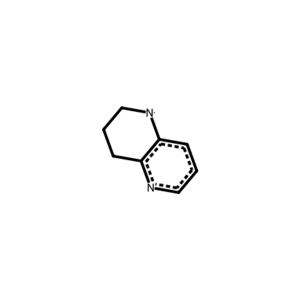 c1cnc2c(c1)[N]CCC2